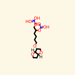 ON(O)OCC(CCCCO[C@@H]1CO[C@@H]2CCO[C@@H]21)ON(O)O